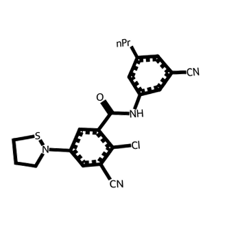 CCCc1cc(C#N)cc(NC(=O)c2cc(N3CCCS3)cc(C#N)c2Cl)c1